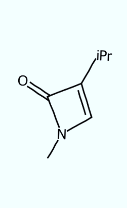 CC(C)C1=CN(C)C1=O